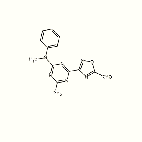 CN(c1ccccc1)c1nc(N)nc(-c2noc([C]=O)n2)n1